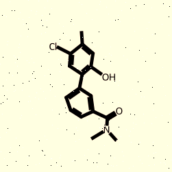 Cc1cc(O)c(-c2cccc(C(=O)N(C)C)c2)cc1Cl